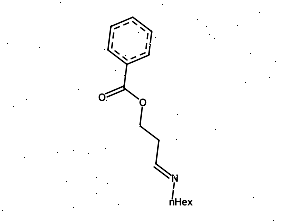 CCCCCCN=CCCOC(=O)c1ccccc1